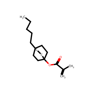 C=C(C)C(=O)OC12CCC(CCCCC)(CC1)CC2